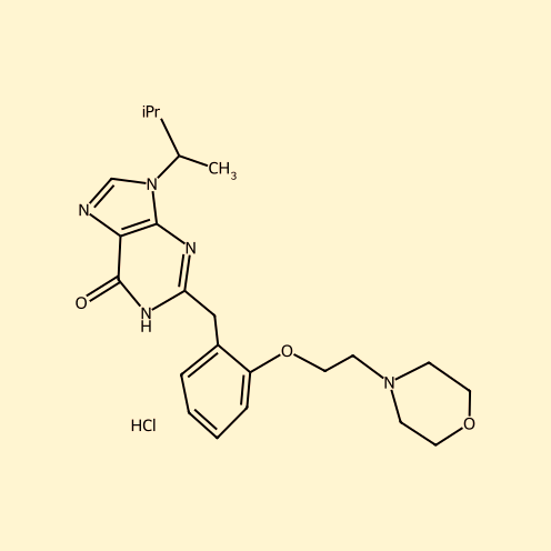 CC(C)C(C)n1cnc2c(=O)[nH]c(Cc3ccccc3OCCN3CCOCC3)nc21.Cl